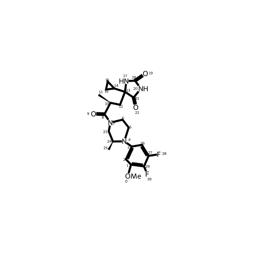 COc1cc(N2CCN(C(=O)[C@@H](C)CC3(C4CC4)NC(=O)NC3=O)C[C@@H]2C)cc(F)c1F